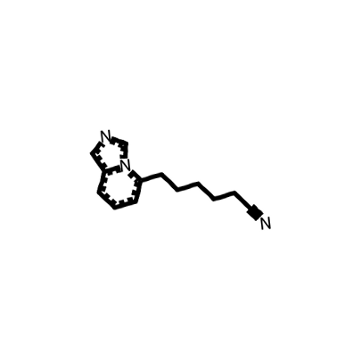 N#CCCCCCc1cccc2cncn12